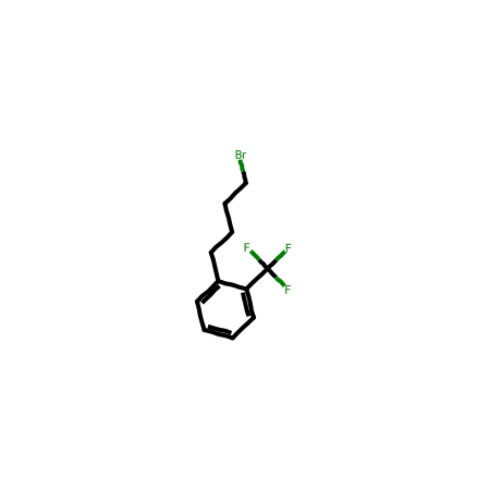 FC(F)(F)c1ccccc1CCCCBr